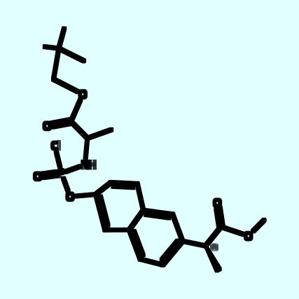 COC(=O)[C@@H](C)c1ccc2cc(OP(=O)(Cl)NC(C)C(=O)OCC(C)(C)C)ccc2c1